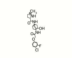 CN1CCC(C(=O)NC23CCC(NC(=O)COc4ccc(Cl)c(F)c4)(CC2)C(O)C3)N1